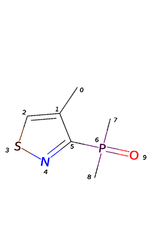 Cc1csnc1P(C)(C)=O